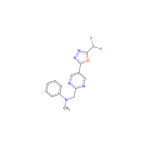 CN(Cc1ncc(-c2nnc(C(F)F)o2)cn1)c1ccccc1